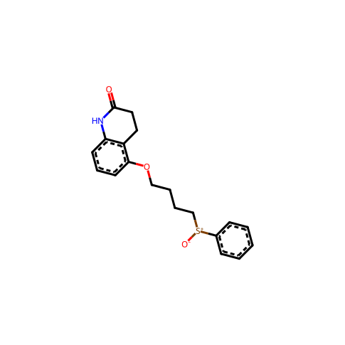 O=C1CCc2c(cccc2OCCCC[S+]([O-])c2ccccc2)N1